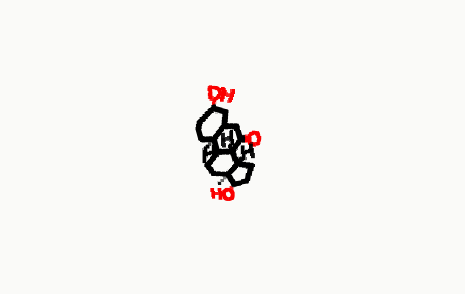 C[C@]12CC[C@H]3[C@@H](C(=O)CC4C[C@@H](O)CC[C@@]43C)[C@@H]1CC[C@@H]2O